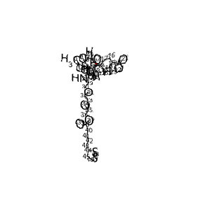 CC(C)[C@]12O[C@H]1[C@@H]1O[C@]13[C@]1(O[C@H]1C[C@H]1C4=C(CC[C@@]13C)C(=O)OC4)[C@@H]2OC(=O)NCCOCCOCCOC(=O)CCCCC1CCSS1